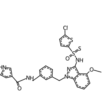 COc1cccc2c1c(NS(=O)(=S)c1ccc(Cl)s1)nn2Cc1cccc(CNC(=O)c2cc[nH]c2)c1